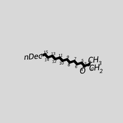 C=C(C)C(=O)CCCCCCCCCCCCCCCCCCCCC